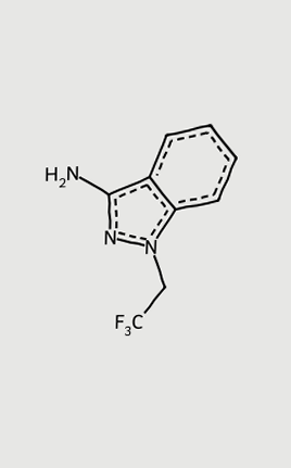 Nc1nn(CC(F)(F)F)c2ccccc12